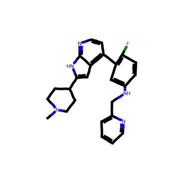 CN1CCC(c2cc3c(-c4cc(NCc5ccccn5)ccc4F)ccnc3[nH]2)CC1